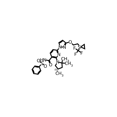 C[C@@H]1CN(c2nc(-n3ccc(OCC[Si]4(C(F)(F)F)CC4)n3)ccc2C(=O)NS(=O)(=O)c2ccccc2)C(C)(C)C1